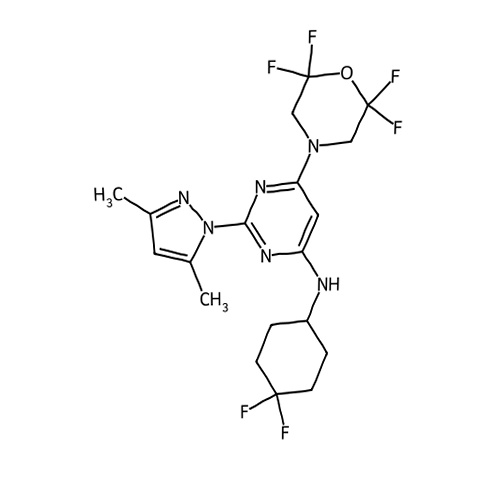 Cc1cc(C)n(-c2nc(NC3CCC(F)(F)CC3)cc(N3CC(F)(F)OC(F)(F)C3)n2)n1